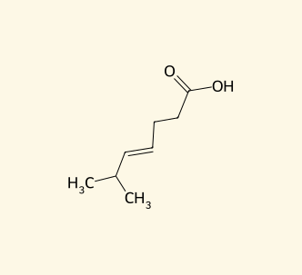 CC(C)C=CCCC(=O)O